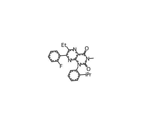 CCc1nc2c(=O)n(C)c(=O)n(-c3ccccc3C(C)C)c2nc1-c1ccccc1F